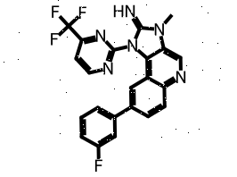 Cn1c(=N)n(-c2nccc(C(F)(F)F)n2)c2c3cc(-c4cccc(F)c4)ccc3ncc21